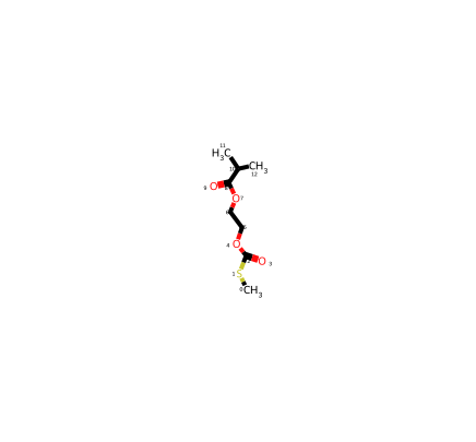 CSC(=O)OCCOC(=O)C(C)C